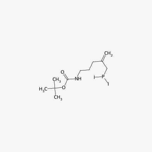 C=C(CCCNC(=O)OC(C)(C)C)CP(I)I